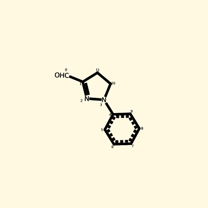 O=CC1=NN(c2ccccc2)CC1